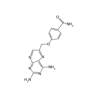 NC(=O)c1ccc(OCc2cnc3nc(N)nc(N)c3n2)cc1